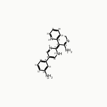 C/N=C(N)\C(=C1\N=CC(c2cccc(N)c2)=CN1)c1ccccn1